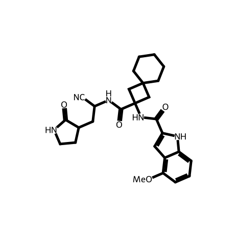 COc1cccc2[nH]c(C(=O)NC3(C(=O)NC(C#N)CC4CCNC4=O)CC4(CCCCC4)C3)cc12